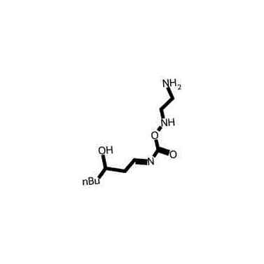 CCCCC(O)CC=NC(=O)ONCCN